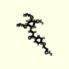 C=CCOc1ccc(C(=O)C=Cc2cc(C)c(OCCC)cc2OCCC)cc1